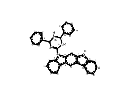 c1ccc(C2N=C(n3c4ccccc4c4cc5c(cc43)sc3ccccc35)NC(c3ccccc3)N2)cc1